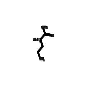 CC(=O)OC(=O)CCCN.[GaH3]